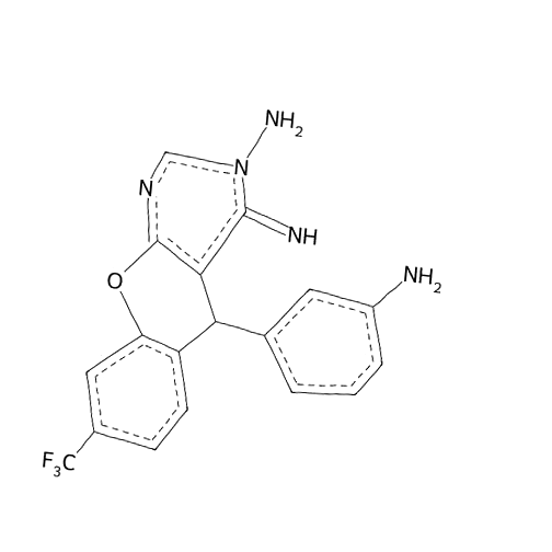 N=c1c2c(ncn1N)Oc1cc(C(F)(F)F)ccc1C2c1cccc(N)c1